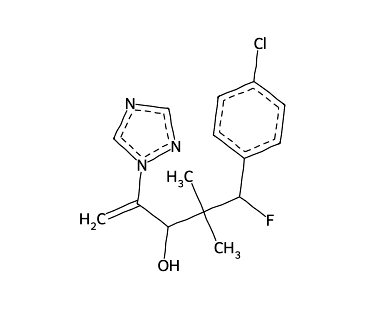 C=C(C(O)C(C)(C)C(F)c1ccc(Cl)cc1)n1cncn1